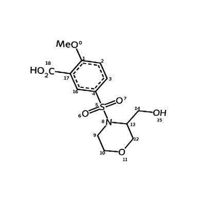 COc1ccc(S(=O)(=O)N2CCOCC2CO)cc1C(=O)O